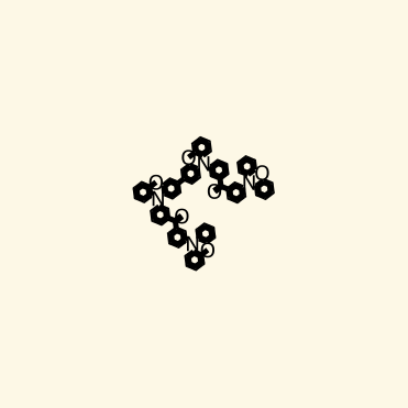 O=C(c1cccc(N2c3ccccc3Oc3ccccc32)c1)c1cccc(N2c3ccccc3Oc3cc(-c4ccc5c(c4)Oc4ccccc4N5c4cccc(C(=O)c5cccc(N6c7ccccc7Oc7ccccc76)c5)c4)ccc32)c1